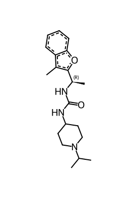 Cc1c([C@@H](C)NC(=O)NC2CCN(C(C)C)CC2)oc2ccccc12